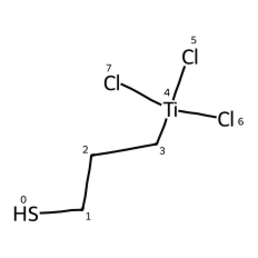 SCC[CH2][Ti]([Cl])([Cl])[Cl]